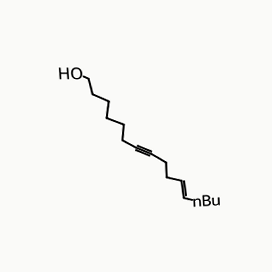 CCCCC=CCCC#CCCCCCCO